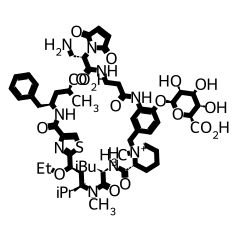 CCO[C@H](C[C@H](C(C)C)N(C)C(=O)[C@@H](NC(=O)[C@H]1CCCC[N+]1(C)Cc1ccc(O[C@@H]2O[C@H](C(=O)O)[C@@H](O)[C@H](O)[C@H]2O)c(NC(=O)CCNC(=O)[C@H](CN)N2C(=O)C=CC2=O)c1)[C@@H](C)CC)c1nc(C(=O)N[C@@H](Cc2ccccc2)C[C@H](C)C(=O)O)cs1